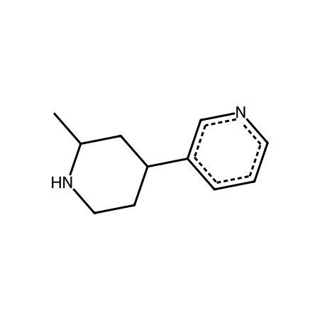 CC1CC(c2cccnc2)CCN1